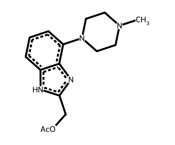 CC(=O)OCc1nc2c(N3CCN(C)CC3)cccc2[nH]1